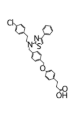 O=C(O)CCc1ccc(OCc2ccc(CN(CCc3ccc(Cl)cc3)c3nc(-c4ccccc4)cs3)cc2)cc1